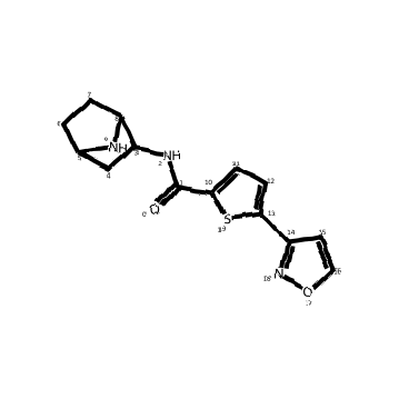 O=C(NC1CC2CCC1N2)c1ccc(-c2ccon2)s1